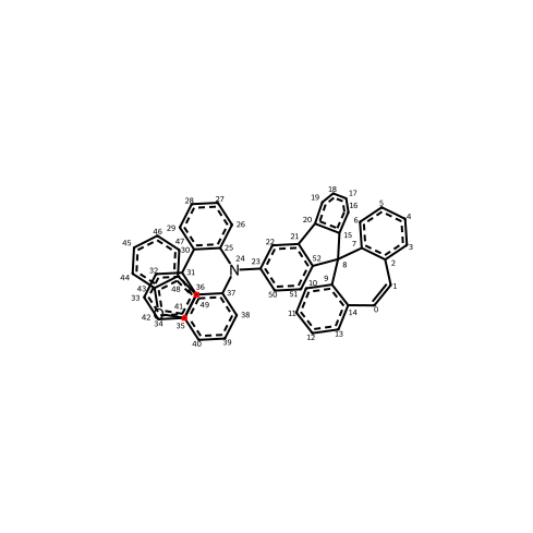 C1=Cc2ccccc2C2(c3ccccc31)c1ccccc1-c1cc(N(c3ccccc3-c3ccccc3)c3cccc4oc5ccccc5c34)ccc12